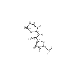 CC(C)c1cc(C(=O)NC2CCCNC2)ns1